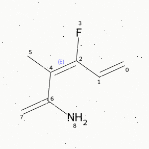 C=C/C(F)=C(/C)C(=C)N